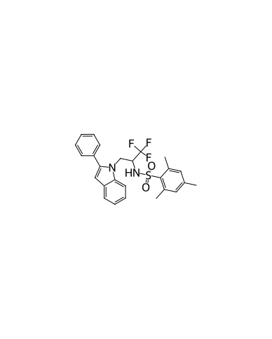 Cc1cc(C)c(S(=O)(=O)NC(Cn2c(-c3ccccc3)cc3ccccc32)C(F)(F)F)c(C)c1